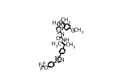 COc1ccc(C(C)C)c(N2/C(=N/C(=O)N/C(C)=C(\C)c3ccc(-c4ncn(-c5ccc(OC(F)(F)F)cc5)n4)cc3)SCC2O)c1